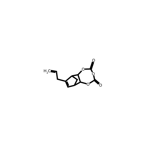 C=CCC1=CC2CC1C1OC(=O)OC(=O)OC21